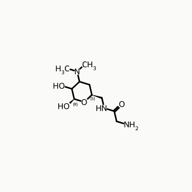 CN(C)C1C[C@@H](CNC(=O)CN)O[C@@H](O)C1O